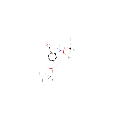 CC(C)(C)OC(=O)Nc1ccc(C2CO2)c(NC(=O)OC(C)(C)C)c1